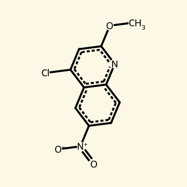 COc1cc(Cl)c2cc([N+](=O)[O-])ccc2n1